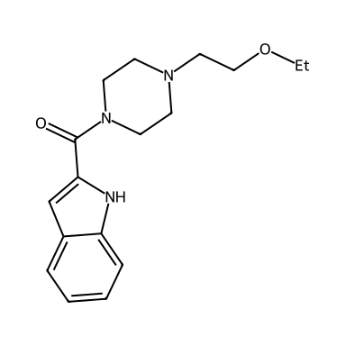 CCOCCN1CCN(C(=O)c2cc3ccccc3[nH]2)CC1